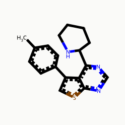 Cc1ccc(-c2csc3ncnc(C4C[CH]CCN4)c23)cc1